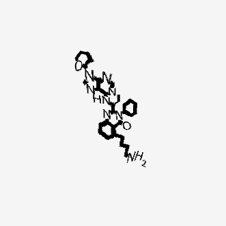 CC[C@H](Nc1ncnc2c1ncn2C1CCCCO1)c1nc2cccc(CCCCN)c2c(=O)n1-c1ccccc1